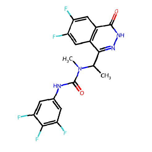 CC(c1n[nH]c(=O)c2cc(F)c(F)cc12)N(C)C(=O)Nc1cc(F)c(F)c(F)c1